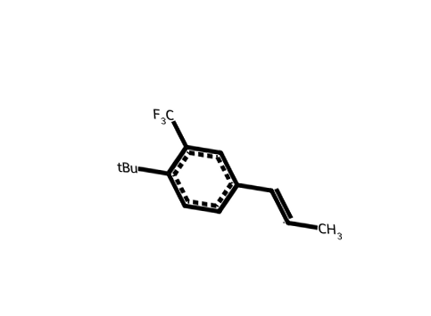 C[C]=Cc1ccc(C(C)(C)C)c(C(F)(F)F)c1